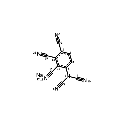 N#Cc1ccc(N(C#N)C#N)c(C#N)c1C#N.[Na]